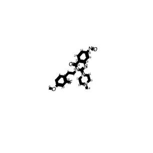 COc1ccc(CCn2c(N3CCN(C)CC3)nc3cc(N=O)ccc3c2=O)c(F)c1